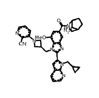 COc1cc(C(=O)N2CC3CCC2[C@@H]3N)cc2nc(-c3cc4cccnc4n3CC3CC3)n(CC3CN(c4cccnc4C#N)C3)c12